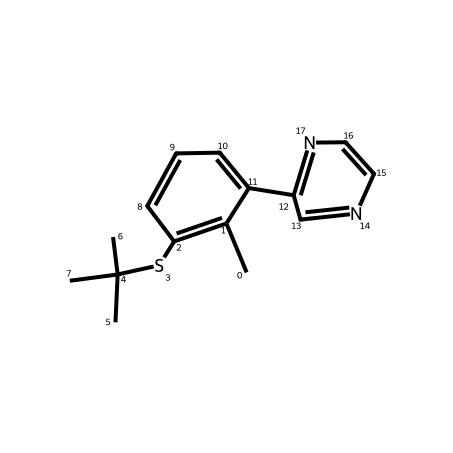 Cc1c(SC(C)(C)C)cccc1-c1cnccn1